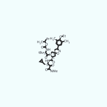 CCOc1c(C)cc(C2=NO[C@]3(C2)C[C@@H](C(=O)N[C@@H](CC2CC2)C(=O)C(=O)NC)N(C(=O)[C@@H](NC(=O)OC(C)C(C)C)C(C)(C)C)C3)cc1C